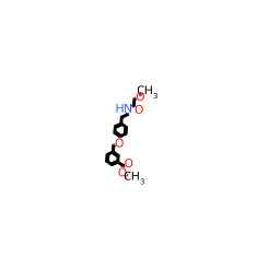 COCC(=O)NCCc1ccc(OCc2cccc(C(=O)OC)c2)cc1